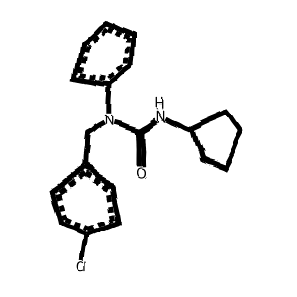 O=C(NC1CCCC1)N(Cc1ccc(Cl)cc1)c1ccccc1